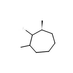 CC1CCCC[C@H](C)C1N